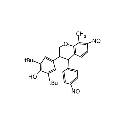 Cc1c(N=O)ccc2c1OCC(c1cc(C(C)(C)C)c(O)c(C(C)(C)C)c1)C2c1ccc(N=O)cc1